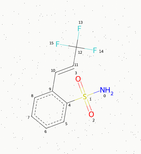 NS(=O)(=O)c1ccccc1C=CC(F)(F)F